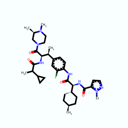 CCn1nccc1C(=O)N[C@H](C(=O)Nc1ccc([C@H](C)[C@@H](NC(=O)C(C)C2CC2)C(=O)N2CCN(C)[C@H](C)C2)cc1F)[C@H]1CC[C@H](C)CC1